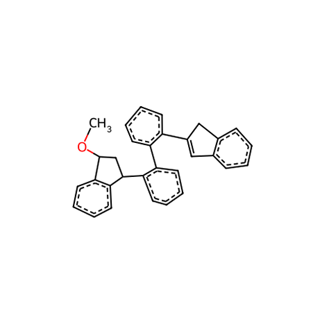 COC1CC(c2ccccc2-c2ccccc2C2=Cc3ccccc3C2)c2ccccc21